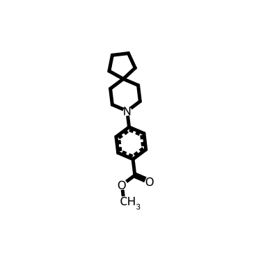 COC(=O)c1ccc(N2CCC3(CCCC3)CC2)cc1